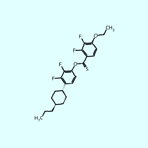 CCC[C@H]1CC[C@H](c2ccc(OC(=S)c3ccc(OCC)c(F)c3F)c(F)c2F)CC1